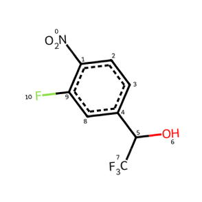 O=[N+]([O-])c1ccc(C(O)C(F)(F)F)cc1F